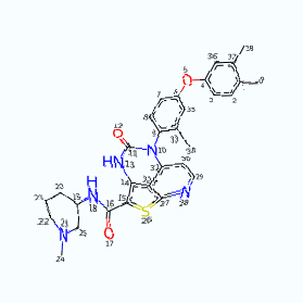 Cc1ccc(Oc2ccc(N3C(=O)Nc4c(C(=O)NC5CCCN(C)C5)sc5nccc3c45)c(C)c2)cc1C